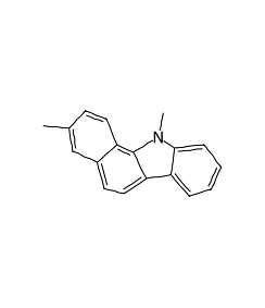 Cc1ccc2c(ccc3c4ccccc4n(C)c23)c1